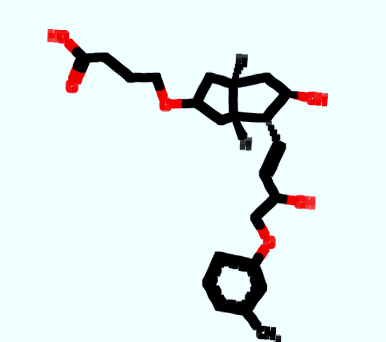 Cc1cccc(OCC(O)C=C[C@@H]2[C@@H]3CC(OCCCC(=O)O)C[C@H]3C[C@H]2O)c1